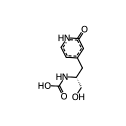 O=C(O)N[C@@H](CO)Cc1cc[nH]c(=O)c1